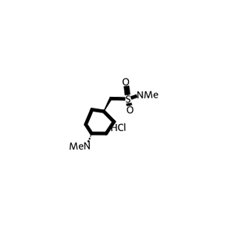 CNS(=O)(=O)C[C@H]1CC[C@H](NC)CC1.Cl